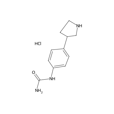 Cl.NC(=O)Nc1ccc(C2CCNC2)cc1